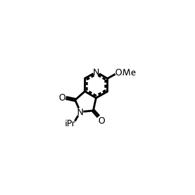 COc1cc2c(cn1)C(=O)N(C(C)C)C2=O